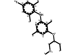 CCC(COC)Oc1nc(C)nc(Nc2c(C)cc(F)cc2C)c1C